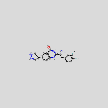 N[C@H](Cc1ccc(F)c(F)c1)c1nc(O)c2cc(C3C=NNC3)ccc2n1